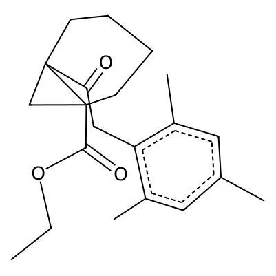 CCOC(=O)C12CCCCC1(C(=O)Cc1c(C)cc(C)cc1C)C2